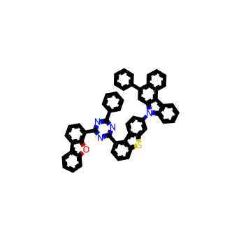 c1ccc(-c2nc(-c3cccc4c3oc3ccccc34)nc(-c3cccc4sc5cc(-n6c7ccccc7c7c8ccccc8c(-c8ccccc8)cc76)ccc5c34)n2)cc1